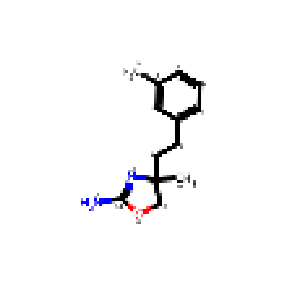 CC1(CCc2cccc(C(F)(F)F)c2)COC(N)=N1